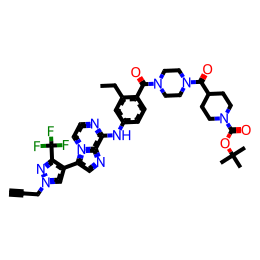 C#CCn1cc(-c2cnc3c(Nc4ccc(C(=O)N5CCN(C(=O)C6CCN(C(=O)OC(C)(C)C)CC6)CC5)c(CC)c4)nccn23)c(C(F)(F)F)n1